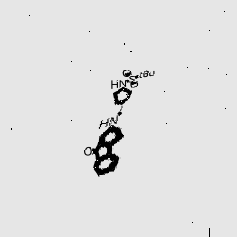 CC(C)(C)S(=O)(=O)N[C@H]1CC[C@H](CNc2ccc3c(c2)C(=O)c2ccccc2-3)CC1